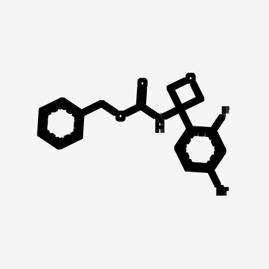 O=C(NC1(c2ccc(Br)cc2F)COC1)OCc1ccccc1